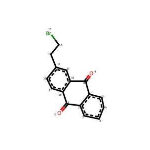 O=C1c2ccccc2C(=O)c2cc(CCBr)ccc21